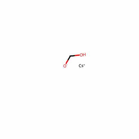 [Cs+].[O-]CO